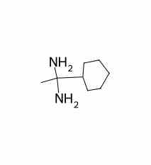 CC(N)(N)C1CCCCC1